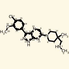 CNCC1(C)CCN(c2cnc3c(-c4ccc(Cl)c(OC)c4)n[nH]c3n2)CC1